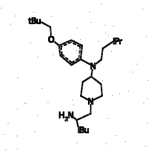 CCC(C)C(N)CN1CCC(N(CCC(C)C)c2ccc(OCC(C)(C)C)cc2)CC1